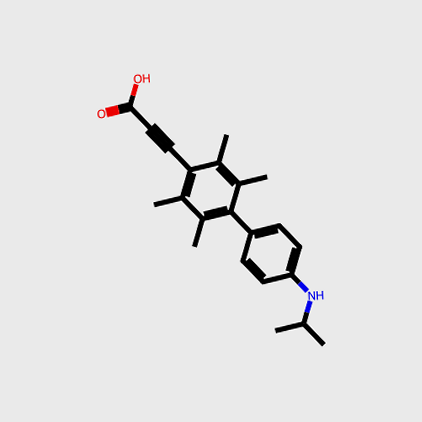 Cc1c(C)c(-c2ccc(NC(C)C)cc2)c(C)c(C)c1C#CC(=O)O